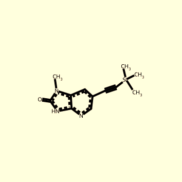 Cn1c(=O)[nH]c2ncc(C#C[Si](C)(C)C)cc21